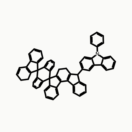 C1=CC2=C(CC1)C1(c3ccccc32)c2ccccc2C2(C3=C(C4=C(CC3)C(c3ccc5c(c3)c3ccccc3n5-c3ccccc3)c3ccccc34)c3ccccc32)c2ccccc21